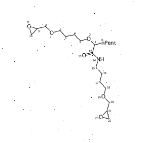 CCCCCC(OCCCCOCC1CO1)C(=O)NCCCCOCC1CO1